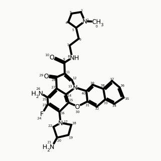 CN1CCCC1CCNC(=O)c1cn2c3c(c(N4CCC(N)C4)c(F)c(N)c3c1=O)Oc1cc3ccccc3cc1-2